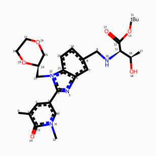 Cc1cc(-c2nc3cc(CN[C@@H](C(=O)OC(C)(C)C)[C@@H](C)O)ccc3n2C[C@@H]2COCCO2)cn(C)c1=O